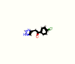 O=C(Cc1c[nH]nn1)c1ccc(Cl)cc1